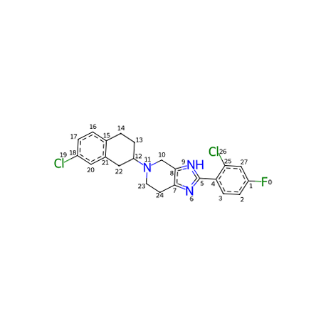 Fc1ccc(-c2nc3c([nH]2)CN(C2CCc4ccc(Cl)cc4C2)CC3)c(Cl)c1